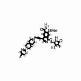 CC[C@@H]1C(F)C(=O)N[C@@H]1COc1ncc(C#CCN2CCC3(CC2)CCN(c2ncc(C)cn2)CC3)c2cc(C(N)=O)c(OC)cc12